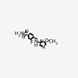 COc1cncc(NCc2ccc(S(N)(=O)=O)cc2F)n1